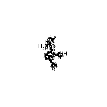 Cc1ccn2nc(N)c(C(=O)NC(C)c3cc4cccc(C#Cc5cnn(C)c5)c4c(=O)n3CCc3c[nH]cn3)c2n1